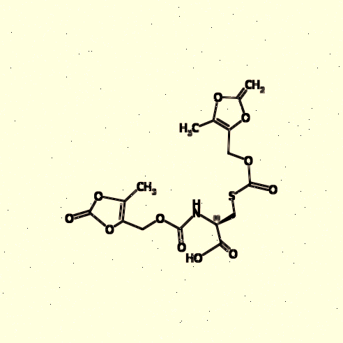 C=C1OC(C)=C(COC(=O)SC[C@H](NC(=O)OCc2oc(=O)oc2C)C(=O)O)O1